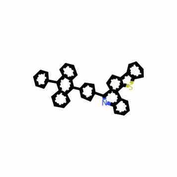 c1ccc(-c2c3ccccc3c(-c3ccc(-c4nc5ccccc5c5c4ccc4c6ccccc6sc45)cc3)c3ccccc23)cc1